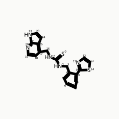 S=C(NCc1ccccc1-c1nccs1)NCc1ccnc2[nH]ccc12